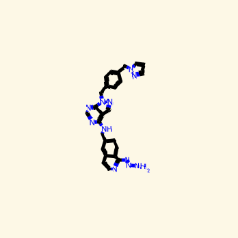 NN=Nc1nccc2cc(CNc3ncnc4c3cnn4Cc3ccc(Cn4cccn4)cc3)ccc12